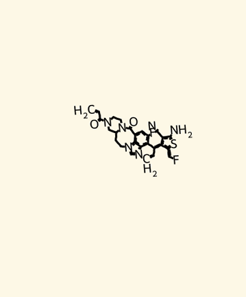 C=CC(=O)N1CCN2C(=O)c3cc(F)c(/C(C=C)=c4\c(C#N)c(N)s\c4=C/F)c4ncn(c34)CCC2C1